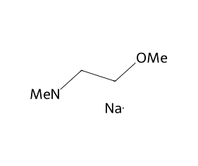 CNCCOC.[Na]